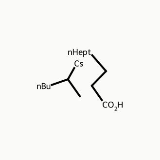 CCCCCCCCCC(=O)O.CCCC[CH](C)[Cs]